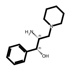 N[C@H](CN1CCCCC1)[C@H](O)c1ccccc1